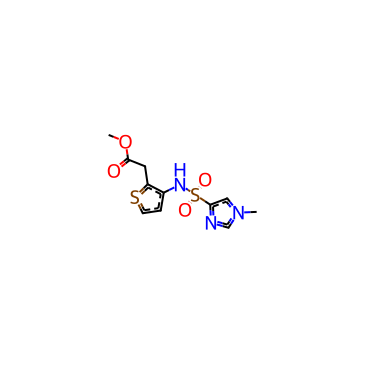 COC(=O)Cc1sccc1NS(=O)(=O)c1cn(C)cn1